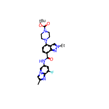 CCn1cc2c(N3CCN(C(=O)OC(C)(C)C)CC3)ccc(C(=O)Nc3cc(F)c4nc(C)cn4c3)c2n1